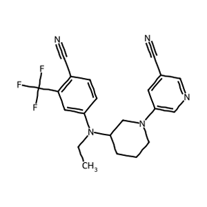 CCN(c1ccc(C#N)c(C(F)(F)F)c1)C1CCCN(c2cncc(C#N)c2)C1